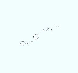 COC(=O)/C=C/C(=O)OCc1ccc(COC(=O)n2ccnc2)cc1